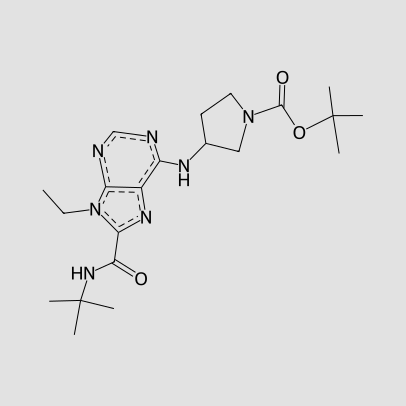 CCn1c(C(=O)NC(C)(C)C)nc2c(NC3CCN(C(=O)OC(C)(C)C)C3)ncnc21